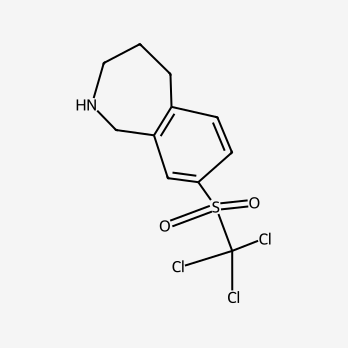 O=S(=O)(c1ccc2c(c1)CNCCC2)C(Cl)(Cl)Cl